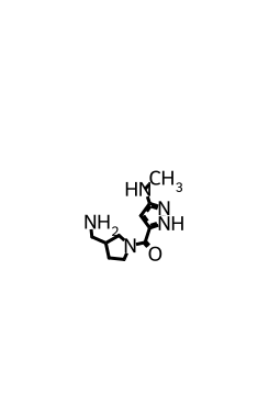 CNc1cc(C(=O)N2CCC(CN)C2)[nH]n1